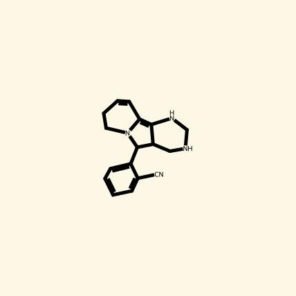 N#Cc1ccccc1C1C2CNCNC2=C2C=CCCN21